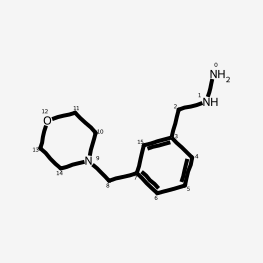 NNCc1cccc(CN2CCOCC2)c1